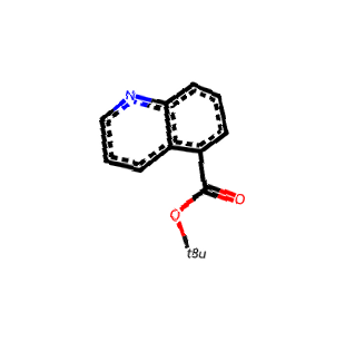 CC(C)(C)OC(=O)c1cccc2ncccc12